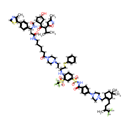 C=C(CCC1=C(CN2CCN(c3ccc(C(=O)NS(=O)(=O)c4ccc(N[C@H](CCN5CCN(C(=O)CCCCCNC(=O)C[C@H](NC(=O)[C@@H]6C[C@@H](O)CC6C(=O)C(c6cc(C)no6)C(C)C)c6ccc(-c7scnc7C)cc6)CC5)CSc5ccccc5)c(S(=O)(=O)C(F)(F)F)c4)cc3)CC2)CCC(C)(C)C1)C(F)F